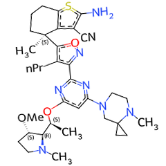 CCCc1c(-c2nc(O[C@@H](C)[C@@H]3[C@@H](OC)CCN3C)cc(N3CCN(C)C4(CC4)C3)n2)noc1[C@@]1(C)CCCc2sc(N)c(C#N)c21